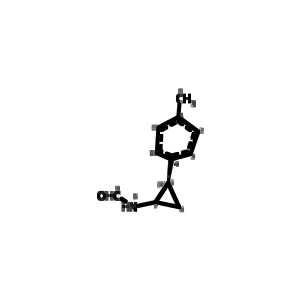 Cc1ccc([C@H]2CC2NC=O)cc1